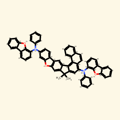 CC1(C)c2cc3oc4cc(N(c5ccccc5)c5cccc6c5oc5ccccc56)ccc4c3cc2-c2c1cc(N(c1ccccc1)c1cccc3c1oc1ccccc13)c1ccc3ccccc3c21